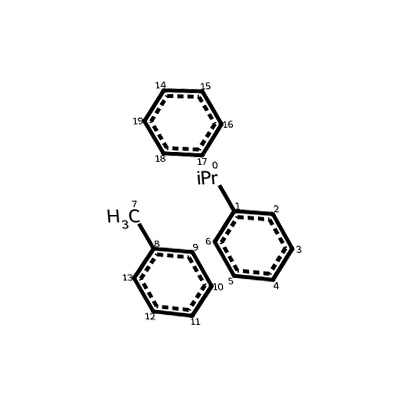 CC(C)c1ccccc1.Cc1ccccc1.c1ccccc1